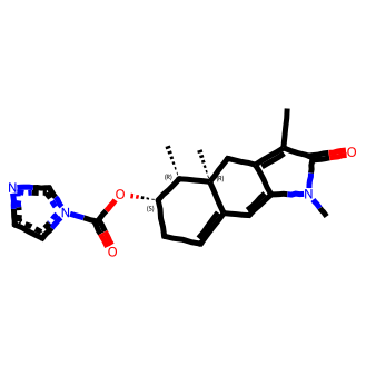 CC1=C2C[C@@]3(C)C(=CC[C@H](OC(=O)n4ccnc4)[C@@H]3C)C=C2N(C)C1=O